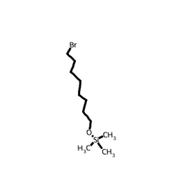 C[Si](C)(C)OCCCCCCCCBr